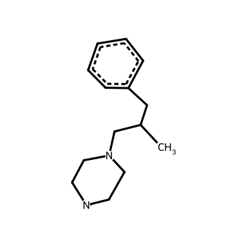 CC(Cc1ccccc1)CN1CC[N]CC1